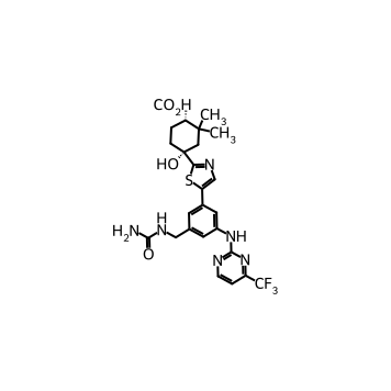 CC1(C)C[C@@](O)(c2ncc(-c3cc(CNC(N)=O)cc(Nc4nccc(C(F)(F)F)n4)c3)s2)CC[C@@H]1C(=O)O